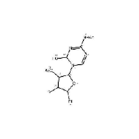 CCC1OC(N2C=CC(NC(C)=O)=NC2O)C(OC(C)=O)C1C